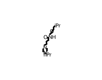 CCCN1CCN(CCCCC(=O)NCCOCCC(C)C)CC1